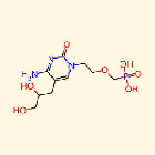 Nc1nc(=O)n(CCOCP(=O)(O)O)cc1CC(O)CO